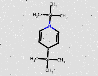 C[Si](C)(C)C1C=CN([Si](C)(C)C)C=C1